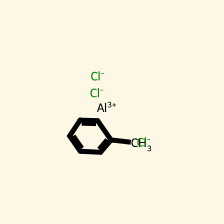 Cc1ccccc1.[Al+3].[Cl-].[Cl-].[Cl-]